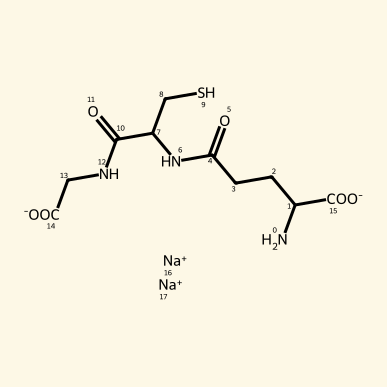 NC(CCC(=O)NC(CS)C(=O)NCC(=O)[O-])C(=O)[O-].[Na+].[Na+]